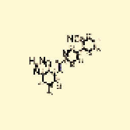 C=NC1=C(ON)[C@@H](/C=C/c2ccc(-c3ccccc3C#N)cn2)[C@H](C)[C@@H](C)C1